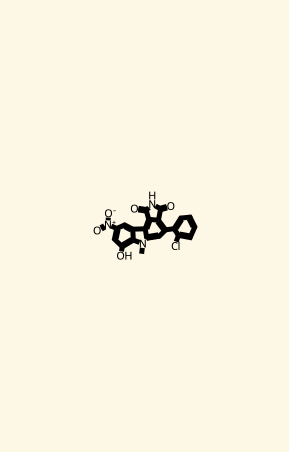 Cn1c2cc(-c3ccccc3Cl)c3c(c2c2cc([N+](=O)[O-])cc(O)c21)C(=O)NC3=O